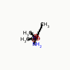 CCCCCCCCCCCCOC(=O)[C@H](CCCCN)N(C(=O)CCCCC)C(=O)CCCCC